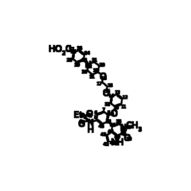 CCS(=O)(=O)Nc1ccc(Oc2cccc(OCCOC3CCN(c4ccc(C(=O)O)cc4)CC3)c2)c(-c2cn(C)c(=O)c3[nH]ccc23)c1